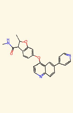 CNC(=O)C1c2ccc(Oc3ccnc4ccc(-c5ccncc5)cc34)cc2OC1C